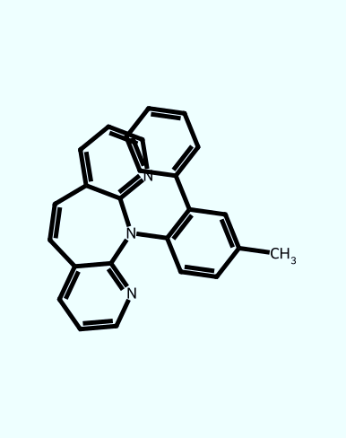 Cc1ccc(N2c3ncccc3C=Cc3cccnc32)c(-c2ccccc2)c1